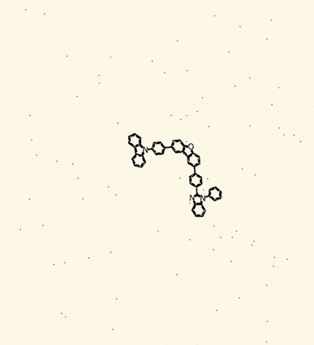 c1ccc(-n2c(-c3ccc(-c4ccc5oc6ccc(-c7ccc(-n8c9ccccc9c9ccccc98)cc7)cc6c5c4)cc3)nc3ccccc32)cc1